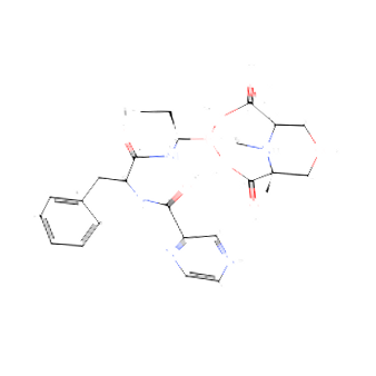 CC(C)C[C@H](NC(=O)C(Cc1ccccc1)NC(=O)c1cnccn1)B1OC(=O)[C@H]2COC[C@H](C(=O)O1)N2C